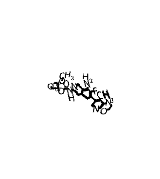 CO[C@@H]1COC[C@@H]1OC(=O)Nc1cc2cc(-c3cnc4c(c3C)NCCO4)c(F)c(N)c2cn1